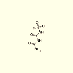 NC(=O)NC(=O)NS(=O)(=O)F